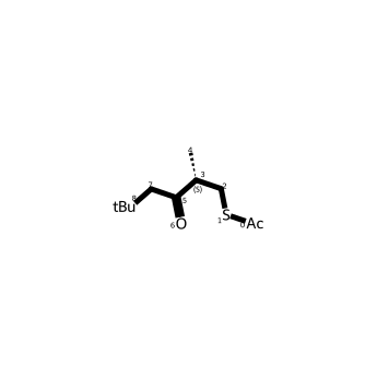 CC(=O)SC[C@@H](C)C(=O)CC(C)(C)C